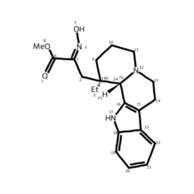 CC[C@]1(CC(=NO)C(=O)OC)CCCN2CCc3c([nH]c4ccccc34)[C@@H]21